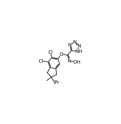 CC(C)C1(C)Cc2cc(OC(=NO)c3nnn[nH]3)c(Cl)c(Cl)c2C1